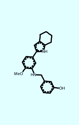 COc1ccc(-c2cc3c([nH]2)CCCC3)cc1NCc1cccc(O)c1